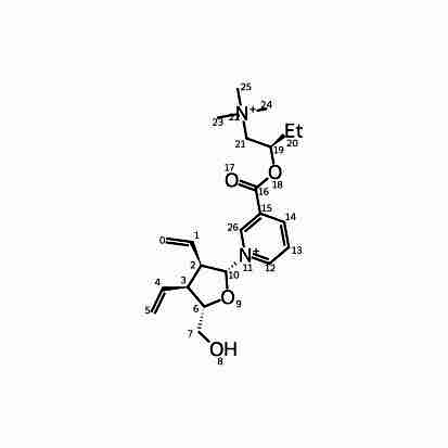 C=C[C@@H]1[C@H](C=C)[C@@H](CO)O[C@H]1[n+]1cccc(C(=O)O[C@H](CC)C[N+](C)(C)C)c1